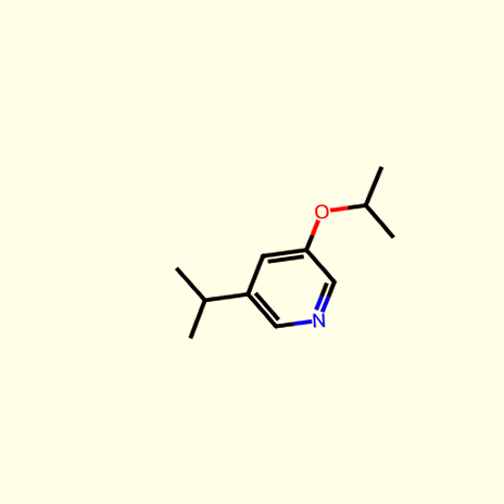 CC(C)Oc1cncc(C(C)C)c1